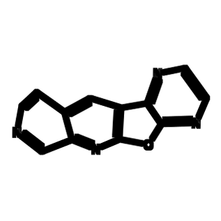 c1cc2cc3c(nc2cn1)oc1nccnc13